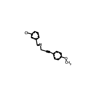 COc1ccc(C#CCN=Cc2cccc(Cl)c2)cc1